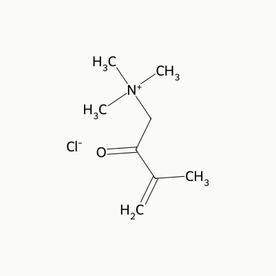 C=C(C)C(=O)C[N+](C)(C)C.[Cl-]